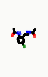 CC(=O)NCCc1cc(Cl)ccc1NC(C)=O